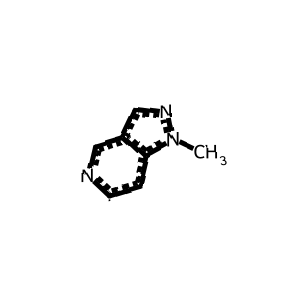 Cn1ncc2cn[c]cc21